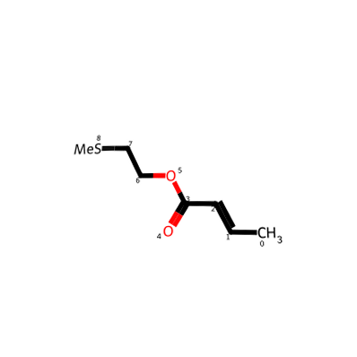 CC=CC(=O)OCCSC